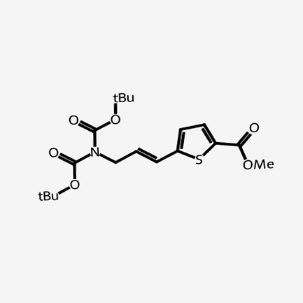 COC(=O)c1ccc(C=CCN(C(=O)OC(C)(C)C)C(=O)OC(C)(C)C)s1